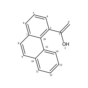 C=C(O)c1cccc2ccc3ccccc3c12